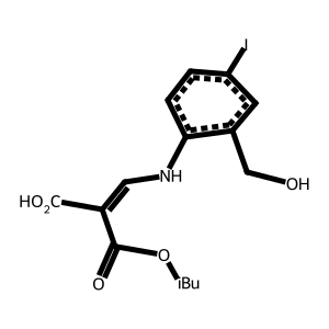 CCC(C)OC(=O)C(=CNc1ccc(I)cc1CO)C(=O)O